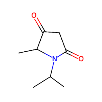 CC(C)N1C(=O)CC(=O)C1C